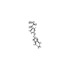 COC(=O)Nc1ccc(OCc2nc3ccccc3o2)cc1